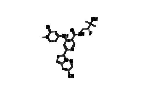 Cn1ccc(Nc2cc(-c3ccc4cc(C#N)cnn34)ncc2C(=O)NC[C@@H](F)C(C)(C)O)cc1=O